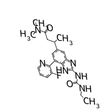 CCNC(=O)Nc1nc2cc(C(C)CC(=O)N(C)C)cc(-c3ncccc3F)c2[nH]1